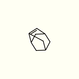 C1=C2CC3CC1CC2C3